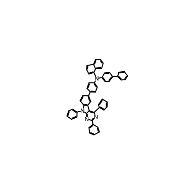 c1ccc(-c2ccc(N(c3ccc(-c4ccc5c(c4)c4c(-c6ccccc6)nc(-c6ccccc6)nc4n5-c4ccccc4)cc3)c3cccc4ccccc34)cc2)cc1